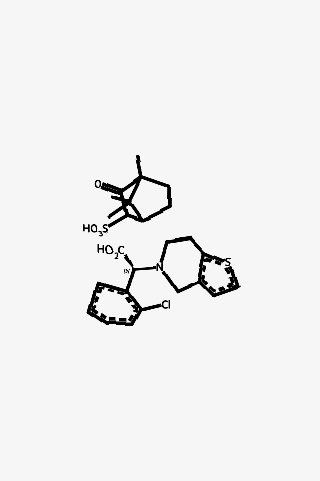 CC12CCC(C(S(=O)(=O)O)C1=O)C2(C)C.O=C(O)[C@H](c1ccccc1Cl)N1CCc2sccc2C1